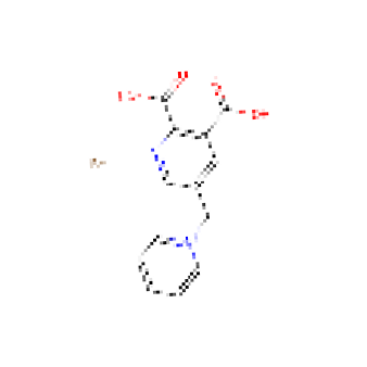 O=C(O)c1cc(C[n+]2ccccc2)cnc1C(=O)O.[Br-]